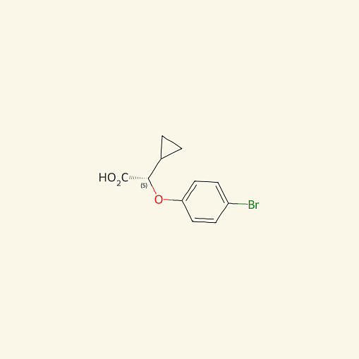 O=C(O)[C@@H](Oc1ccc(Br)cc1)C1CC1